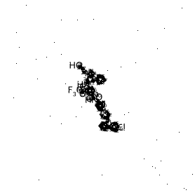 O=C(NS(=O)(=O)c1ccc(N[C@@H](CSc2ccccc2)C[C@H]2CCCN2CCCO)c(S(=O)(=O)C(F)(F)F)c1)c1ccc(N2CCC(Cc3ccccc3-c3ccc(Cl)cc3)CC2)cc1